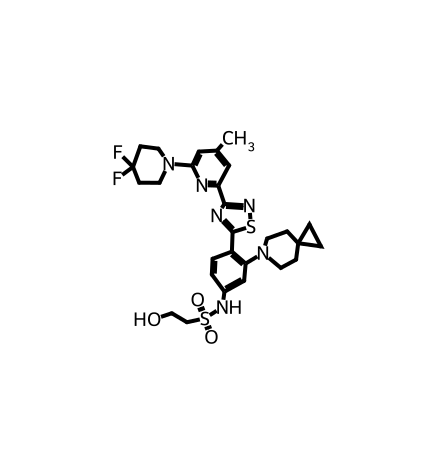 Cc1cc(-c2nsc(-c3ccc(NS(=O)(=O)CCO)cc3N3CCC4(CC3)CC4)n2)nc(N2CCC(F)(F)CC2)c1